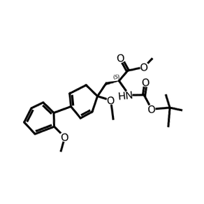 COC(=O)[C@H](CC1(OC)C=CC(c2ccccc2OC)=CC1)NC(=O)OC(C)(C)C